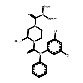 CCCCCN(CCCCC)C(=O)N1CCN(C(=O)N(c2ccccc2)c2cc(Cl)cc(Cl)c2)C(C(=O)O)C1